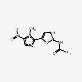 CC(=O)NN1NC=C(c2ncc([N+](=O)[O-])n2C)S1